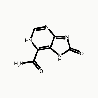 NC(=O)c1[nH]cnc2nc(=O)[nH]c1-2